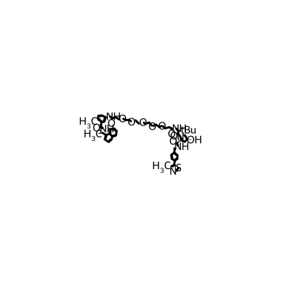 Cc1ccc(NC(=O)CCOCCOCCOCCOCCOCCC(=O)N[C@H](C(=O)N2C[C@H](O)C[C@H]2C(=O)NCc2ccc(-c3scnc3C)cc2)C(C)(C)C)cc1C(=O)N[C@H](C)c1cccc2ccccc12